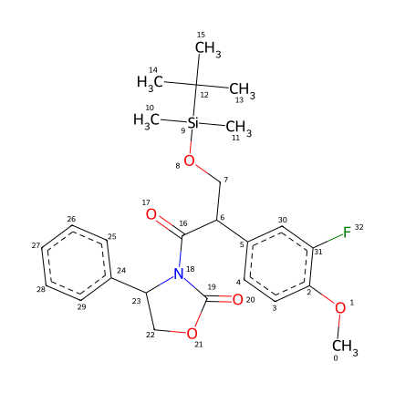 COc1ccc(C(CO[Si](C)(C)C(C)(C)C)C(=O)N2C(=O)OCC2c2ccccc2)cc1F